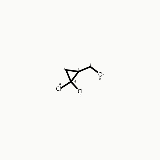 [O]CC1CC1(Cl)Cl